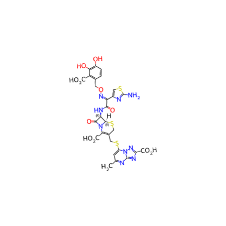 Cc1cc(SCC2=C(C(=O)O)N3C(=O)[C@@H](NC(=O)C(=NOCc4ccc(O)c(O)c4C(=O)O)c4csc(N)n4)[C@H]3SC2)n2nc(C(=O)O)nc2n1